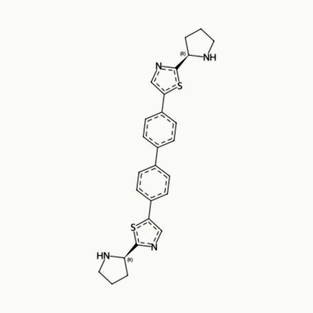 c1cc(-c2cnc([C@H]3CCCN3)s2)ccc1-c1ccc(-c2cnc([C@H]3CCCN3)s2)cc1